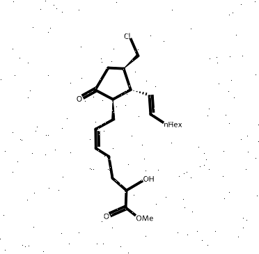 CCCCCC/C=C/[C@H]1[C@H](CCl)CC(=O)[C@@H]1C/C=C\CCC(O)C(=O)OC